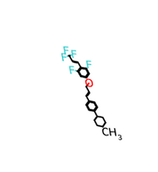 CC1CCC(c2ccc(C=CCOc3cc(F)c(C=CC(F)(F)F)c(F)c3)cc2)CC1